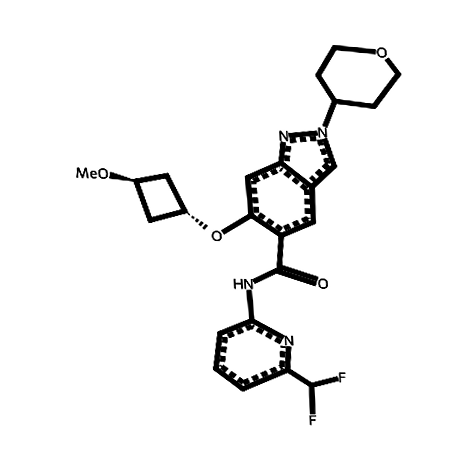 CO[C@H]1C[C@H](Oc2cc3nn(C4CCOCC4)cc3cc2C(=O)Nc2cccc(C(F)F)n2)C1